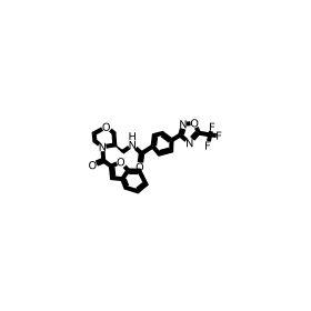 O=C(NC[C@@H]1COCCN1C(=O)c1cc2ccccc2o1)c1ccc(-c2noc(C(F)(F)F)n2)cc1